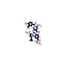 CNC(=O)c1ccc(-n2c(-n3nc(C4CC4)cc3C)nc3c(c2=O)CC(C)N(C(=O)c2ccc(Br)c(C(F)(F)F)c2)C3)cc1